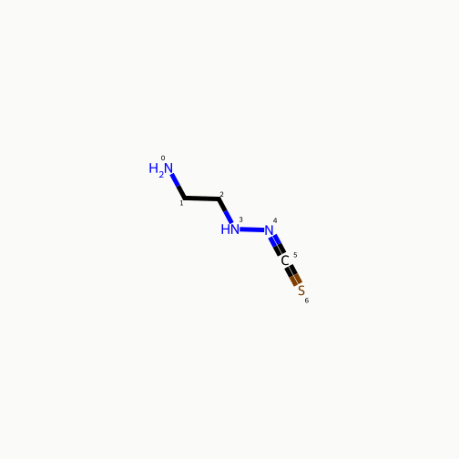 NCCNN=C=S